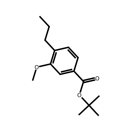 CCCc1ccc(C(=O)OC(C)(C)C)cc1OC